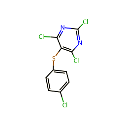 Clc1ccc(Sc2c(Cl)nc(Cl)nc2Cl)cc1